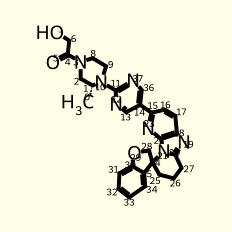 C[C@@H]1CN(C(=O)CO)CCN1c1ncc(-c2ccc3nc4n(c3n2)C2(CCC4)COc3ccccc32)cn1